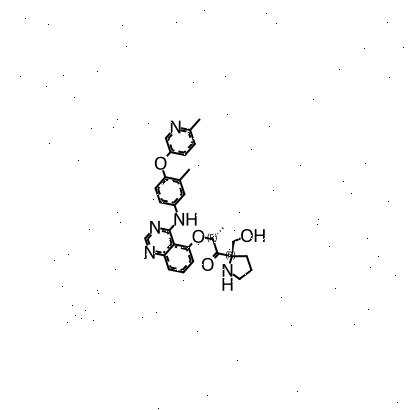 Cc1ccc(Oc2ccc(Nc3ncnc4cccc(O[C@H](C)C(=O)[C@]5(CO)CCCN5)c34)cc2C)cn1